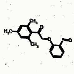 Cc1cc(C)c(C(=O)COc2ccccc2P=O)c(C)c1